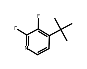 CC(C)(C)c1ccnc(F)c1F